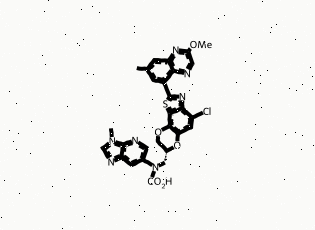 COc1cnc2c(-c3nc4c(Cl)cc5c(c4s3)OC[C@@H](CN(C(=O)O)c3cnc4c(c3)ncn4C)O5)cc(C)cc2n1